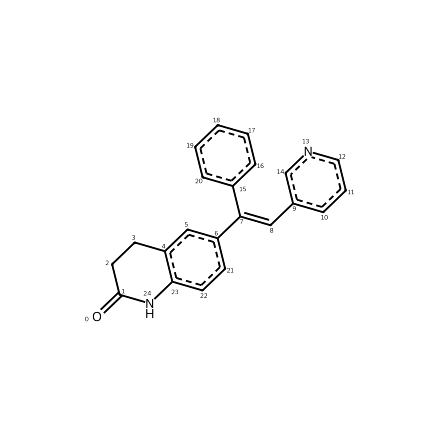 O=C1CCc2cc(C(=Cc3cccnc3)c3ccccc3)ccc2N1